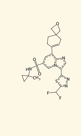 CC1(NS(=O)(=O)c2cc(C3=CCC4(CC3)COC4)c3ncc(-c4nnc(C(F)F)s4)n3c2)CC1